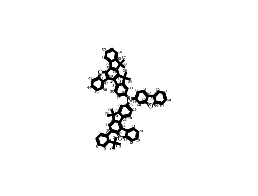 CC(C)(C)c1ccccc1-c1cc2c(c3c1oc1ccccc13)-c1ccc(N(c3ccc4c(c3)C(C)(C)c3c5c(c6oc7ccccc7c6c3-4)-c3ccccc3C5(C)C)c3ccc4c(c3)oc3ccccc34)cc1C2(C)C